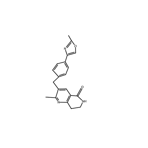 Cc1nc(-c2ccc(Cc3cc4c(nc3C)CCNC4=O)cc2)co1